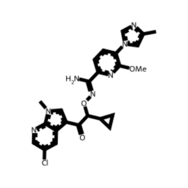 COc1nc(/C(N)=N/OC(C(=O)c2cn(C)c3ncc(Cl)cc23)C2CC2)ccc1-n1cnc(C)c1